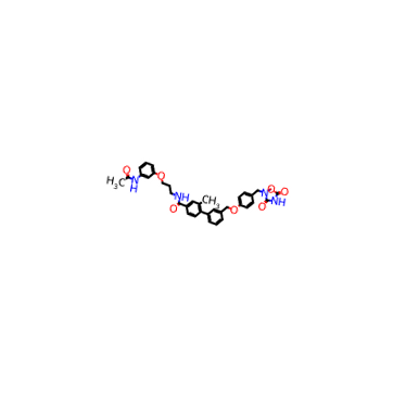 CC(=O)Nc1cccc(OCCCNC(=O)c2ccc(-c3cccc(COc4ccc(Cn5oc(=O)[nH]c5=O)cc4)c3)c(C)c2)c1